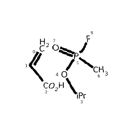 C=CC(=O)O.CC(C)OP(C)(=O)F